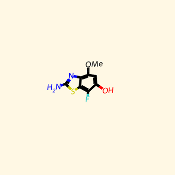 COc1cc(O)c(F)c2sc(N)nc12